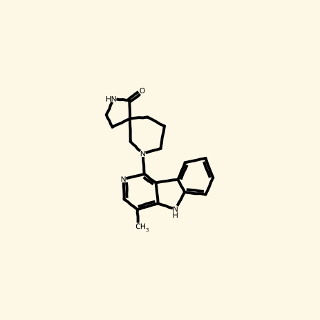 Cc1cnc(N2CCCC3(CCNC3=O)C2)c2c1[nH]c1ccccc12